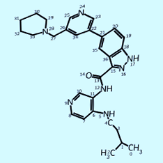 CC(C)CCNc1ccncc1NC(=O)c1n[nH]c2ccc(-c3cncc(CN4CCCCC4)c3)cc12